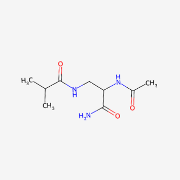 CC(=O)NC(CNC(=O)C(C)C)C(N)=O